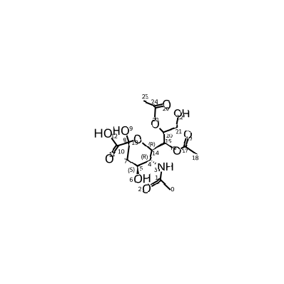 CC(=O)N[C@@H]1[C@@H](O)CC(O)(C(=O)O)O[C@H]1C(OC(C)=O)C(CO)OC(C)=O